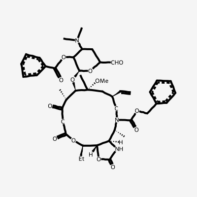 C=C[C@H]1CN(C(=O)OCc2ccccc2)[C@H](C)[C@H]2NC(=O)O[C@@H]2[C@@H](CC)OC(=O)CC(=O)[C@H](C)[C@@H](O[C@@H]2OC(C=O)CC(N(C)C)C2OC(=O)c2ccccc2)[C@](C)(OC)C1